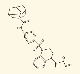 C=CC(=O)NC1CCN(S(=O)(=O)c2ccc(NC(=O)C34CC5CC(CC(C5)C3)C4)cc2)c2ccccc21